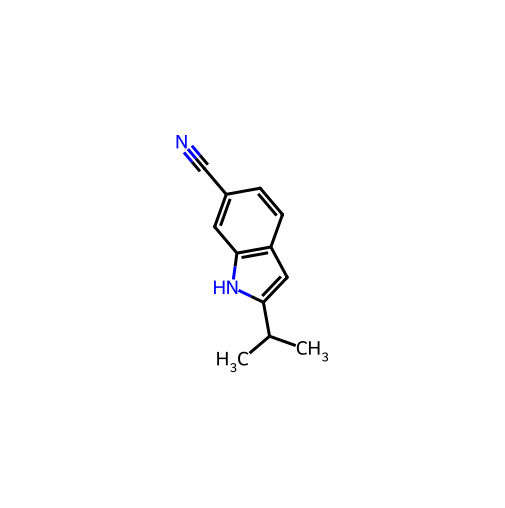 CC(C)c1cc2ccc(C#N)cc2[nH]1